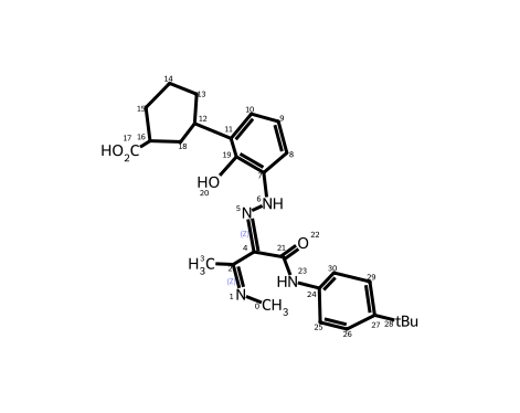 C/N=C(C)\C(=N\Nc1cccc(C2CCCC(C(=O)O)C2)c1O)C(=O)Nc1ccc(C(C)(C)C)cc1